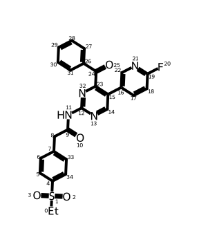 CCS(=O)(=O)c1ccc(CC(=O)Nc2ncc(-c3ccc(F)nc3)c(C(=O)c3ccccc3)n2)cc1